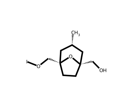 C[C@@H]1C[C@@]2(CO)CC[C@@](COI)(C1)O2